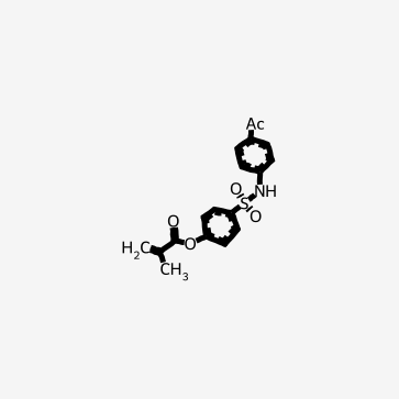 C=C(C)C(=O)Oc1ccc(S(=O)(=O)Nc2ccc(C(C)=O)cc2)cc1